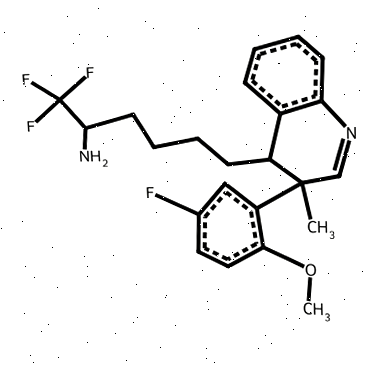 COc1ccc(F)cc1C1(C)C=Nc2ccccc2C1CCCCC(N)C(F)(F)F